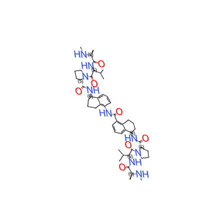 CN[C@@H](C)C(=O)N[C@H](C(=O)N1CCC[C@H]1C(=O)N[C@@H]1CCCc2c(NC(=O)c3cccc4c3CCC[C@H]4NC(=O)[C@@H]3CCCN3C(=O)[C@@H](NC(=O)[C@H](C)NC)C(C)C)cccc21)C(C)C